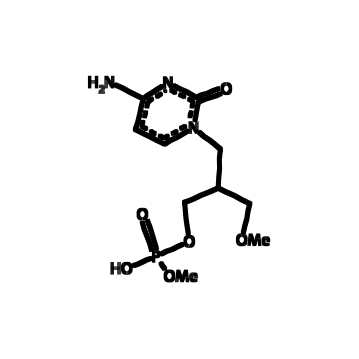 COCC(COP(=O)(O)OC)Cn1ccc(N)nc1=O